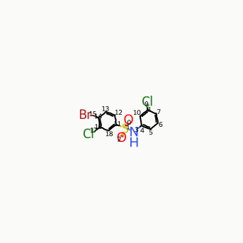 O=S(=O)(Nc1cccc(Cl)c1)c1ccc(Br)c(Cl)c1